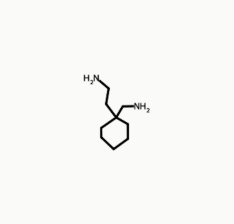 NCCC1(CN)CCCCC1